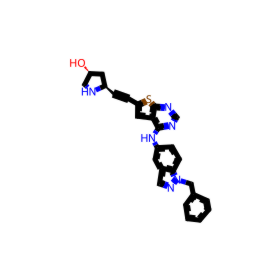 O[C@H]1CN[C@H](C#Cc2cc3c(Nc4ccc5c(cnn5Cc5ccccc5)c4)ncnc3s2)C1